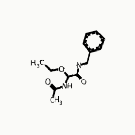 CCOC(NC(C)=O)C(=O)[N]Cc1ccccc1